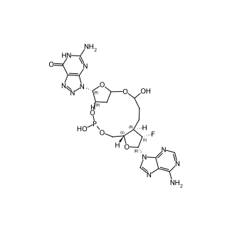 Nc1nc2c(nnn2[C@@H]2OC3C[C@H]2OP(O)OC[C@H]2O[C@@H](n4cnc5c(N)ncnc54)[C@@H](F)[C@@H]2CCC(O)O3)c(=O)[nH]1